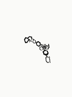 O=S(=O)(Nc1ccc(OCc2ccc3ccccc3n2)cc1)c1ccc(Cl)cc1